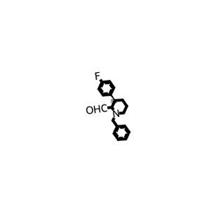 O=CC1[C@@H](c2ccc(F)cc2)CCCN1Cc1ccccc1